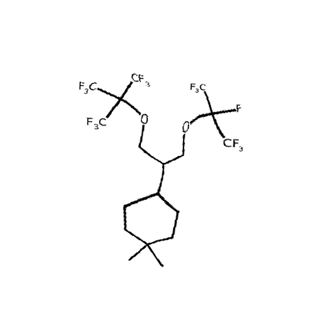 CC1(C)CCC(C(COC(F)(C(F)(F)F)C(F)(F)F)COC(C(F)(F)F)(C(F)(F)F)C(F)(F)F)CC1